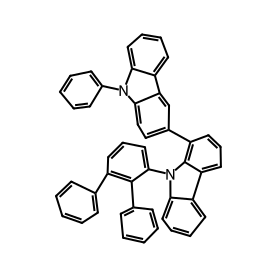 c1ccc(-c2cccc(-n3c4ccccc4c4cccc(-c5ccc6c(c5)c5ccccc5n6-c5ccccc5)c43)c2-c2ccccc2)cc1